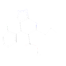 CCCC1=C(C(=O)OC)C(c2ccccc2Cl)c2c[nH]nc2N1